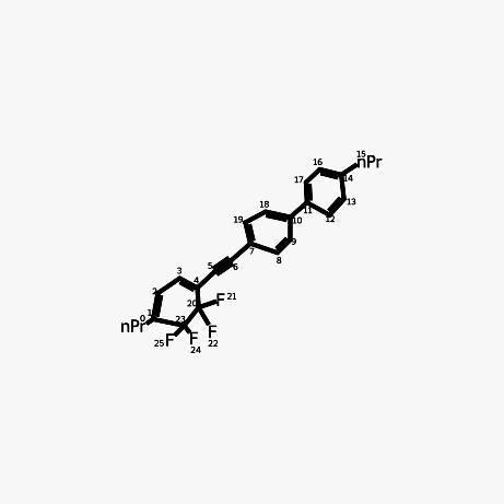 CCCC1=CC=C(C#Cc2ccc(-c3ccc(CCC)cc3)cc2)C(F)(F)C1(F)F